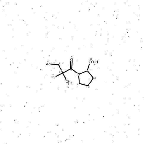 CC(=O)CC(C)(S)C(=O)N1CCCC1C(=O)O